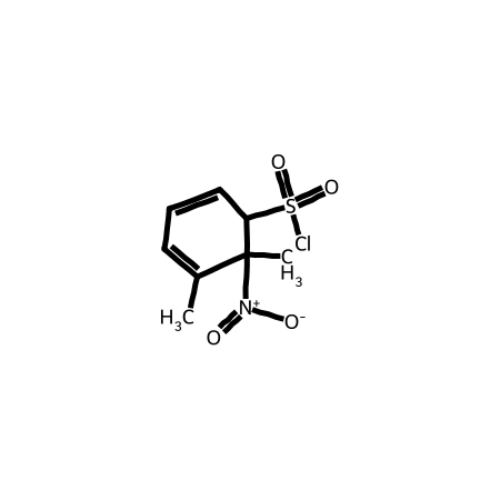 CC1=CC=CC(S(=O)(=O)Cl)C1(C)[N+](=O)[O-]